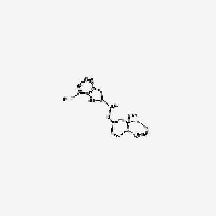 Cc1cccc2c1NC(C(=O)NC1CCC3N=CNCC3(C=O)C1)C2